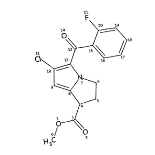 COC(=O)C1CCn2c1cc(Cl)c2C(=O)c1ccccc1F